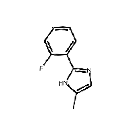 Cc1cnc(-c2cc[c]cc2F)[nH]1